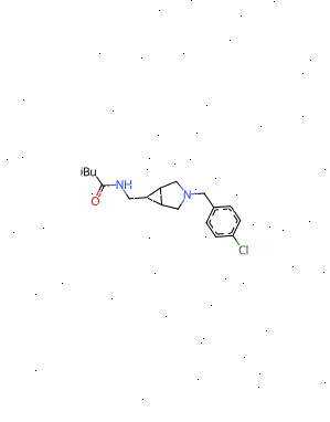 CCC(C)C(=O)NCC1C2CN(Cc3ccc(Cl)cc3)CC12